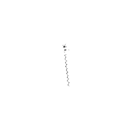 CCCCCCCCCCCCCCCCCCOOC(=O)OC(C)(C)C